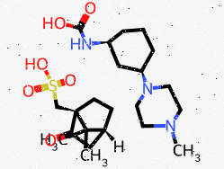 CC1(C)[C@@H]2CC[C@@]1(CS(=O)(=O)O)C(=O)C2.CN1CCN([C@@H]2CCC[C@H](NC(=O)O)C2)CC1